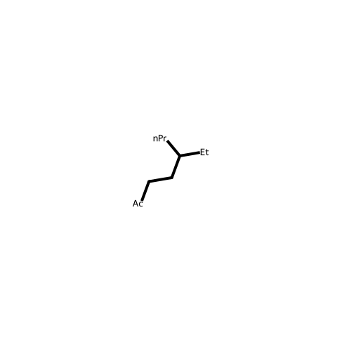 [CH2]C(=O)CCC(CC)CCC